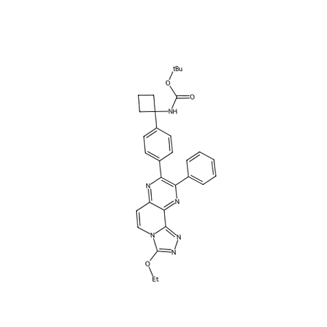 CCOc1nnc2c3nc(-c4ccccc4)c(-c4ccc(C5(NC(=O)OC(C)(C)C)CCC5)cc4)nc3ccn12